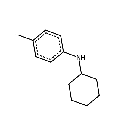 [CH2]c1ccc(NC2CCCCC2)cc1